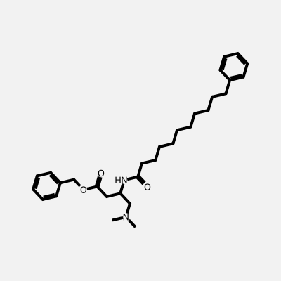 CN(C)CC(CC(=O)OCc1ccccc1)NC(=O)CCCCCCCCCCc1ccccc1